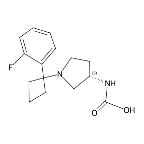 O=C(O)N[C@H]1CCN(C2(c3ccccc3F)CCC2)C1